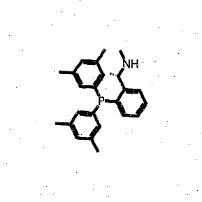 CN[C@@H](C)c1ccccc1P(c1cc(C)cc(C)c1)c1cc(C)cc(C)c1